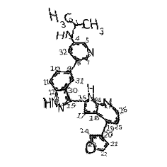 CC(C)Nc1cncc(-c2ccc3[nH]nc(-c4cc5c(-c6ccoc6)ccnc5[nH]4)c3c2)c1